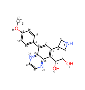 OC[C@H](O)c1c(C2CNC2)cc(-c2ccc(OC(F)(F)F)cc2)c2nccnc12